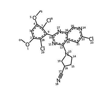 COc1cc(OC)c(Cl)c(-c2nc(N3CCC(C#N)C3)c3cc(Cl)ncc3n2)c1Cl